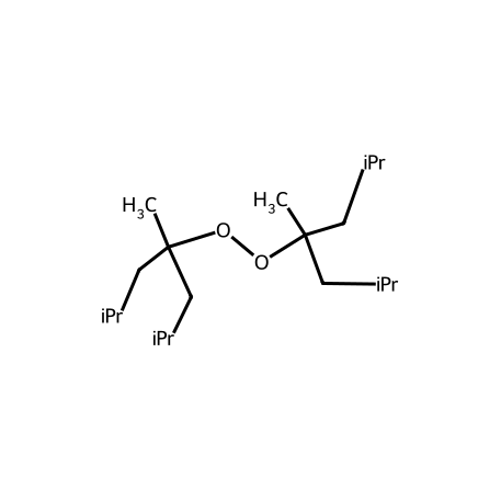 CC(C)CC(C)(CC(C)C)OOC(C)(CC(C)C)CC(C)C